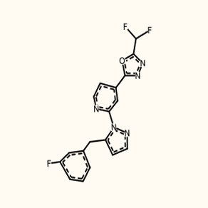 Fc1cccc(Cc2ccnn2-c2cc(-c3nnc(C(F)F)o3)ccn2)c1